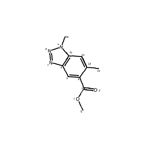 COC(=O)c1cc2nnn(C)c2cc1C